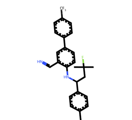 Cc1ccc(C(CC(C)(C)F)Nc2ccc(-c3ccc(C(F)(F)F)cc3)cc2C=N)cc1